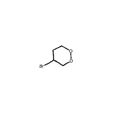 BrC1CCOOC1